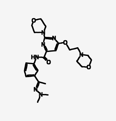 C/C(=N\N(C)C)c1cccc(NC(=O)c2cc(OCCN3CCOCC3)nc(N3CCOCC3)n2)c1